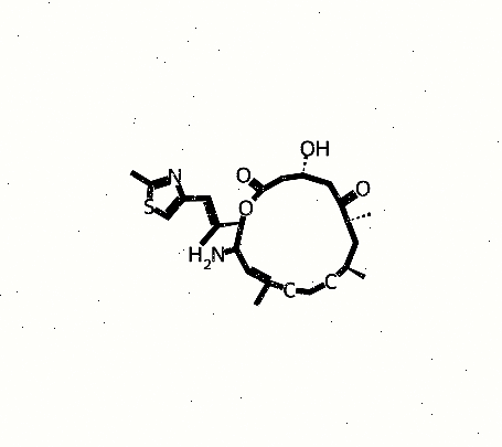 C/C1=C/C(N)[C@@H](/C(C)=C/c2csc(C)n2)OC(=O)C[C@H](O)CC(=O)[C@H](C)C[C@@H](C)CCC1